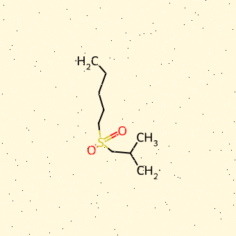 [CH2]CCCCS(=O)(=O)CC([CH2])C